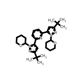 CC(C)(C)c1cc(-c2cccc(-c3cc(C(C)(C)C)nn3C3CCCCO3)n2)n(C2CCCCO2)n1